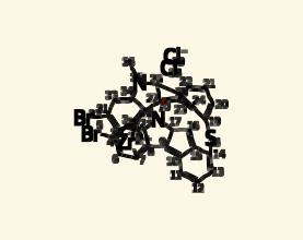 CN1c2cc(Br)c[c]3c2C2=c4cccc(c4=CC21)Sc1cccc2c1=CC1C=2c2[c](cc(Br)cc2N1C)[Zr+2]3.[Cl-].[Cl-]